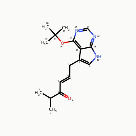 CC(C)C(=O)C=CCc1c[nH]c2ncnc(OC(C)(C)C)c12